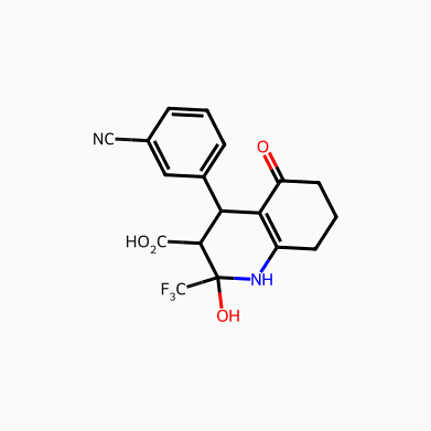 N#Cc1cccc(C2C3=C(CCCC3=O)NC(O)(C(F)(F)F)C2C(=O)O)c1